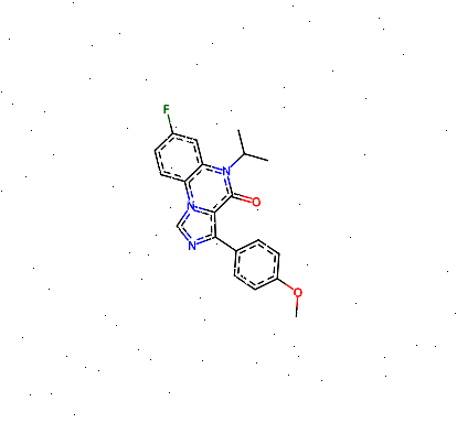 COc1ccc(-c2ncn3c2c(=O)n(C(C)C)c2cc(F)ccc23)cc1